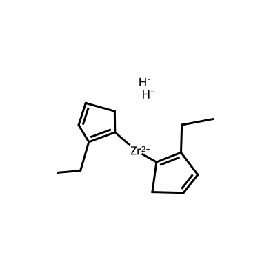 CCC1=[C]([Zr+2][C]2=C(CC)C=CC2)CC=C1.[H-].[H-]